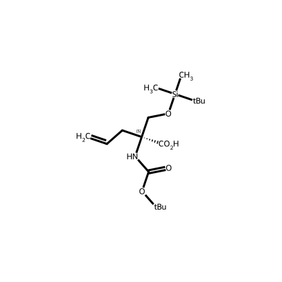 C=CC[C@@](CO[Si](C)(C)C(C)(C)C)(NC(=O)OC(C)(C)C)C(=O)O